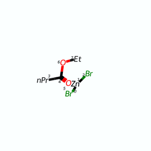 [Br][Zn][Br].[CH2]CCC(=O)OCC